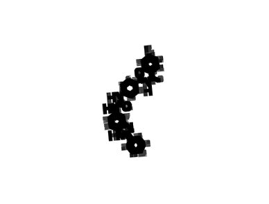 C[C@@H](NC(=O)[C@H]1CC[C@H](NC(=O)Nc2ccc3[nH]c(-c4ccccc4)nc3c2)CC1)c1ccc(F)cc1